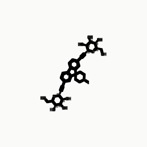 OCC1O[C@H](C#Cc2ccc3c(c2)C2(CCN(I)CC2)c2cc(C#C[C@H]4O[C@H](CO)[C@@H](O)[C@H](O)[C@@H]4O)ccc2-3)[C@@H](O)[C@@H](O)[C@@H]1O